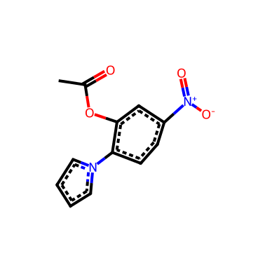 CC(=O)Oc1cc([N+](=O)[O-])ccc1-n1cccc1